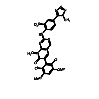 COc1cc(OC)c(Cl)c(-c2cc3cnc(Nc4ccc(-c5nnnn5C)cc4[N+](=O)[O-])nc3n(C)c2=O)c1Cl